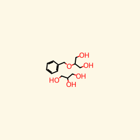 OCC(CO)OCc1ccccc1.OCC(O)CO